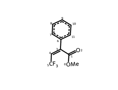 COC(=O)C(=CC(F)(F)F)c1ccccc1